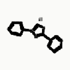 [Cl-].c1ccc(-c2n[n+](-c3ccccc3)cs2)cc1